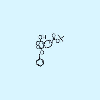 CC(C)(C)OC(=O)N1CCN(C(=O)OCc2ccccc2)[C@@H](C(=O)O)C1